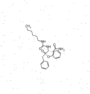 CCCCCCNC(=O)N[C@H](CC(N)=O)P(=O)(Cc1ccccc1)Oc1ccccc1